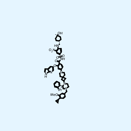 COc1cc(CN2CCN(C3CC4(CCN(c5ccc(C(=O)NS(=O)(=O)c6ccc(NC[C@H]7CC[C@](C)(O)CC7)c([N+](=O)[O-])c6)c(Oc6cnc7[nH]ccc7c6)c5)CC4)C3)[C@H](c3ccccc3C(C)C)C2)ccc1C1CC1